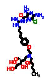 CCCCCCN(CCOc1ccc(CCCCNC(=N)NC(=O)c2nc(Cl)c(N)nc2N)cc1)C[C@@H](O)[C@@H](C=O)[C@H](O)[C@H](O)CO